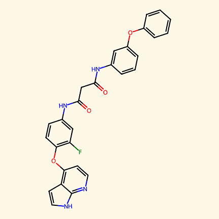 O=C(CC(=O)Nc1ccc(Oc2ccnc3[nH]ccc23)c(F)c1)Nc1cccc(Oc2ccccc2)c1